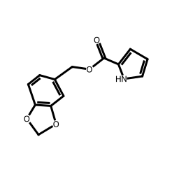 O=C(OCc1ccc2c(c1)OCO2)c1ccc[nH]1